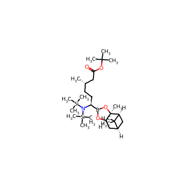 C[C@@H](CC[C@@H](B1O[C@@H]2C[C@@H]3C[C@@H](C3(C)C)[C@]2(C)O1)N([Si](C)(C)C)[Si](C)(C)C)CC(=O)OC(C)(C)C